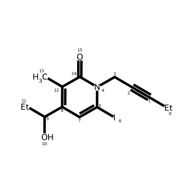 CCC#CCn1c(I)cc(C(O)CC)c(C)c1=O